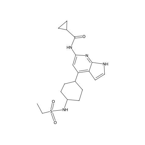 CCS(=O)(=O)NC1CCC(c2cc(NC(=O)C3CC3)nc3[nH]ccc23)CC1